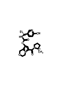 CC[C@@H](NC(=O)Oc1cc(C(=O)N2CCC[C@@H]2C)n2c1COCC2)c1ccc(C#N)nc1